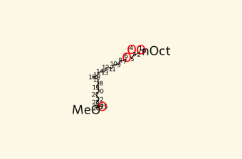 CCCCCCCCOCC(=O)COCCCCCCCCC1CC1CCCCCCC(=O)OC